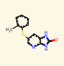 Cc1ccccc1Sc1cnc2[nH]c(=O)[nH]c2c1